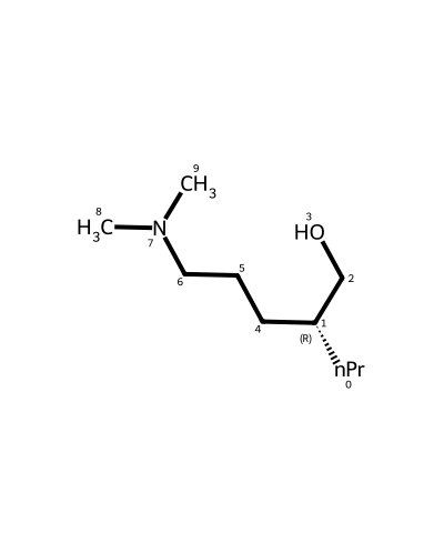 CCC[C@@H](CO)CCCN(C)C